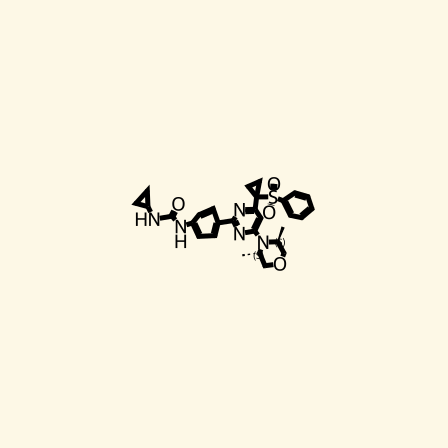 C[C@H]1COC[C@H](C)N1c1cc(C2(S(=O)(=O)c3ccccc3)CC2)nc(-c2ccc(NC(=O)NC3CC3)cc2)n1